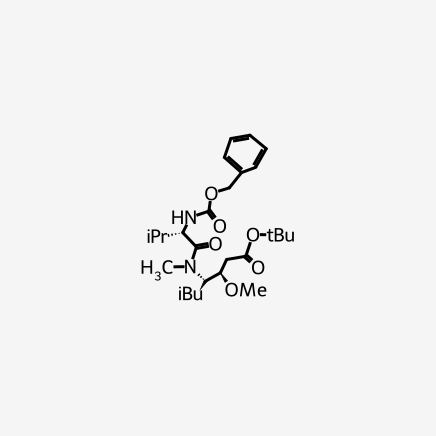 CC[C@H](C)[C@@H]([C@@H](CC(=O)OC(C)(C)C)OC)N(C)C(=O)[C@@H](NC(=O)OCc1ccccc1)C(C)C